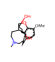 COc1ccc2c3c1OC1C(O)CCC4(O)C(C2)CN(C)CCC314